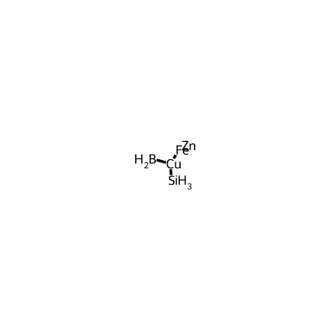 [BH2][Cu]([SiH3])[Fe].[Zn]